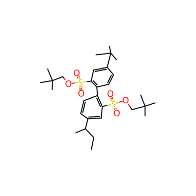 CCC(C)c1ccc(-c2ccc(C(C)(C)C)cc2S(=O)(=O)OCC(C)(C)C)c(S(=O)(=O)OCC(C)(C)C)c1